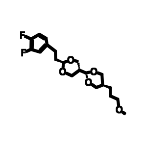 COCCC[C@H]1CO[C@H]([C@H]2CO[C@H](CCc3ccc(F)c(F)c3)OC2)OC1